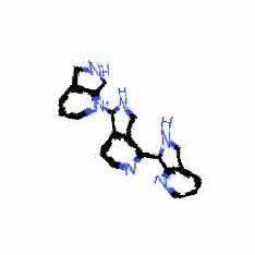 c1cnc2c(c1)CNC2c1nccc2c1CNC2[n+]1cccc2c1CNC2